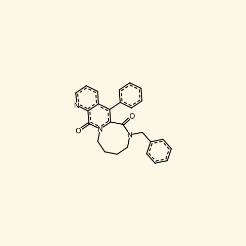 O=C1c2c(-c3ccccc3)c3cccnc3c(=O)n2CCCCN1Cc1ccccc1